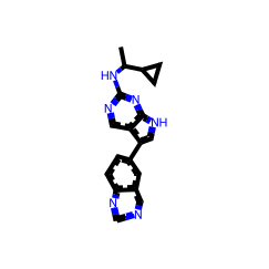 CC(Nc1ncc2c(-c3ccc4ncncc4c3)c[nH]c2n1)C1CC1